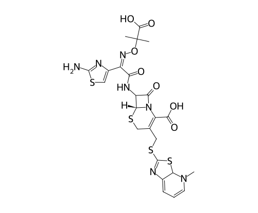 CN1C=CC=C2N=C(SCC3=C(C(=O)O)N4C(=O)C(NC(=O)/C(=N\OC(C)(C)C(=O)O)c5csc(N)n5)[C@H]4SC3)SC21